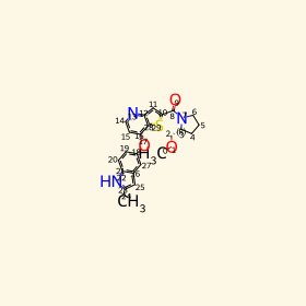 COC[C@H]1CCCN1C(=O)c1cc2nccc(Oc3ccc4[nH]c(C)cc4c3)c2s1